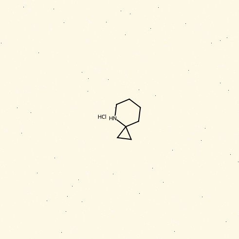 C1CCC2(CC2)NC1.Cl